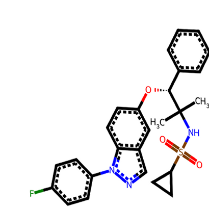 CC(C)(NS(=O)(=O)C1CC1)[C@H](Oc1ccc2c(cnn2-c2ccc(F)cc2)c1)c1ccccc1